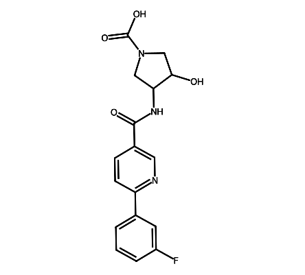 O=C(NC1CN(C(=O)O)CC1O)c1ccc(-c2cccc(F)c2)nc1